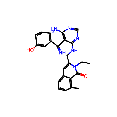 CCn1c(CNc2ncnc(N)c2C(=N)c2cccc(O)c2)cc2cccc(C)c2c1=O